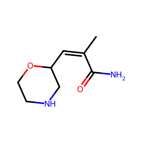 CC(=CC1CNCCO1)C(N)=O